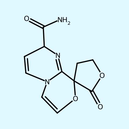 NC(=O)C1C=CN2C=COC3(CCOC3=O)C2=N1